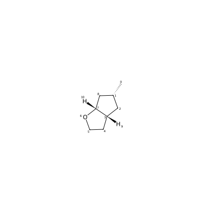 C[C@@H]1C[C@@H]2CCO[C@@H]2C1